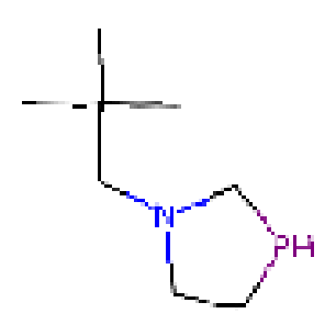 CC(C)(C)CN1CCPC1